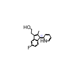 CC1=C(CCO)c2cc(F)ccc2/C1=C1/C=CC=CN1